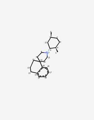 C[C@H]1CC[C@@H](C)[C@H](N2CCC3(CCCc4ccccc43)CC2)C1